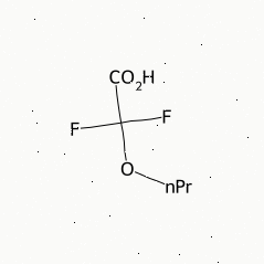 CCCOC(F)(F)C(=O)O